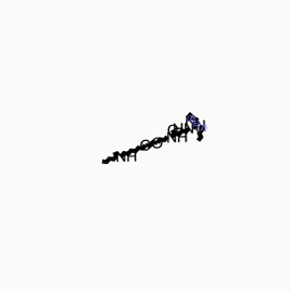 C=C(CCCC)NCCCCCCOCCOCCCNC(=O)CCCNCC(/N=C\CCC)=C(C)\N=C/C